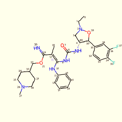 CCN1C[C@@H](NC(=O)N/C(Nc2ccccc2)=C(\C)C(=N)OCC2CCN(C)CC2)C(c2ccc(F)c(F)c2)O1